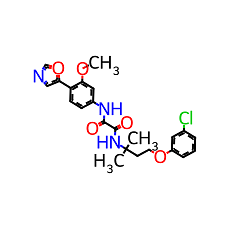 COc1cc(NC(=O)C(=O)NC(C)(C)CCOc2cccc(Cl)c2)ccc1-c1cnco1